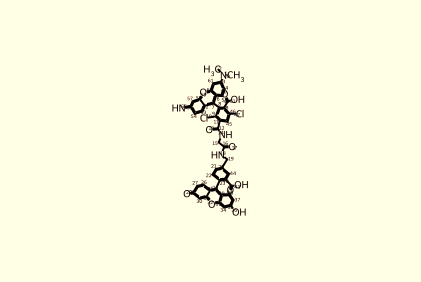 CN(C)c1ccc2c(-c3c(Cl)c(C(=O)NCC(=O)NCc4ccc(-c5c6ccc(=O)cc-6oc6cc(O)ccc56)c(C(=O)O)c4)cc(Cl)c3C(=O)O)c3ccc(=N)cc-3oc2c1